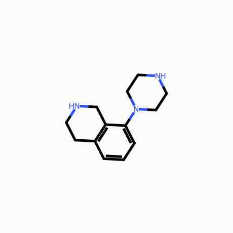 c1cc2c(c(N3CCNCC3)c1)CNCC2